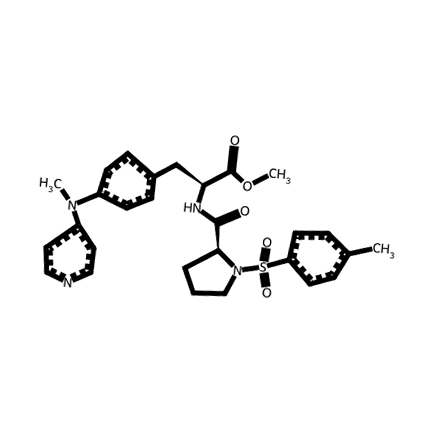 COC(=O)[C@H](Cc1ccc(N(C)c2ccncc2)cc1)NC(=O)[C@@H]1CCCN1S(=O)(=O)c1ccc(C)cc1